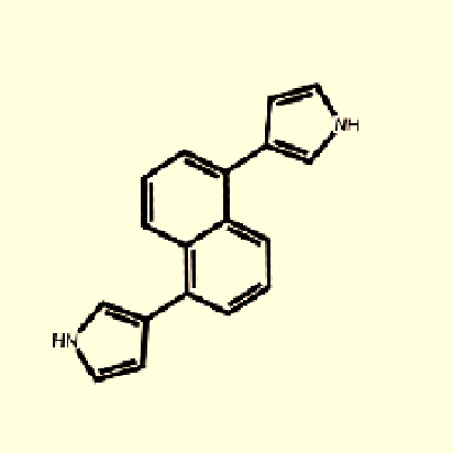 c1cc(-c2cc[nH]c2)c2cccc(-c3cc[nH]c3)c2c1